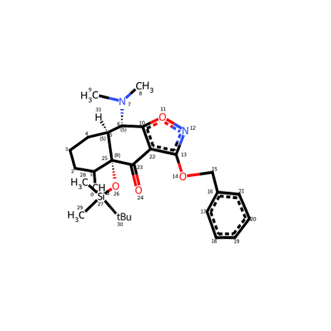 CC1CCC[C@H]2[C@H](N(C)C)c3onc(OCc4ccccc4)c3C(=O)[C@@]12O[Si](C)(C)C(C)(C)C